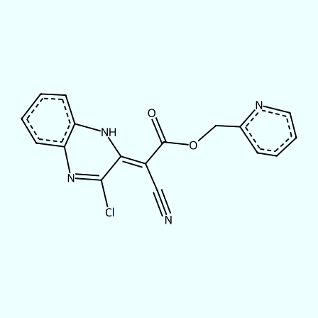 N#C/C(C(=O)OCc1ccccn1)=C1/Nc2ccccc2N=C1Cl